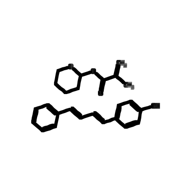 C=C(C)C(=O)OC1CCCCO1.Oc1ccc(C=CC=Cc2ccccc2)cc1